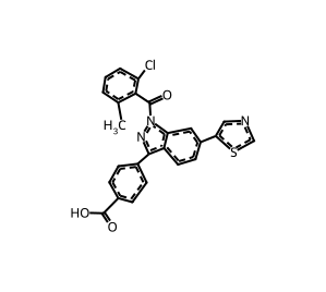 Cc1cccc(Cl)c1C(=O)n1nc(-c2ccc(C(=O)O)cc2)c2ccc(-c3cncs3)cc21